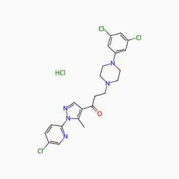 Cc1c(C(=O)CCN2CCN(c3cc(Cl)cc(Cl)c3)CC2)cnn1-c1ccc(Cl)cn1.Cl